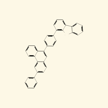 c1ccc(-c2ccc3cc(-c4ccc(-c5cccc6c5oc5ccccc56)cc4)c4ccccc4c3c2)cc1